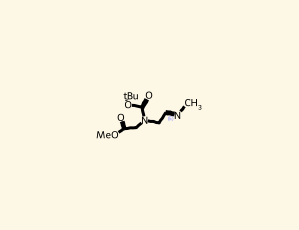 C/N=C/CN(CC(=O)OC)C(=O)OC(C)(C)C